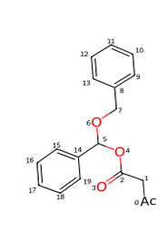 CC(=O)CC(=O)OC(OCc1ccccc1)c1ccccc1